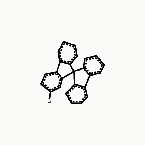 [Li][c]1ccc2c(c1)C1(c3ccccc3-c3ccccc31)c1ccccc1-2